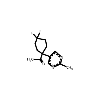 CC(=O)C1(c2cnc(C)nc2)CCC(F)(F)CC1